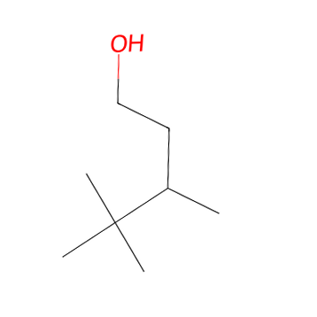 CC(CCO)C(C)(C)C